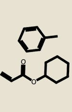 C=CC(=O)OC1CCCCC1.Cc1ccccc1